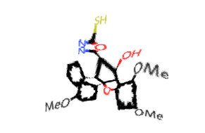 COc1ccc([C@@]23Oc4cc(OC)cc(OC)c4C2[C@H](O)[C@H](c2nnc(S)o2)[C@H]3c2ccccc2)cc1